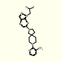 FC(F)Cn1ncc2ncc(N3CCC4(CCN(c5ncccc5C(F)(F)F)CC4)C3)nc21